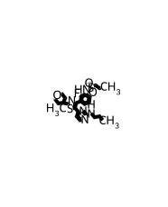 CCCNc1nccc(-c2sc(C3(C)CCOCC3)nc2-c2cccc(NS(=O)(=O)CCC)c2F)n1